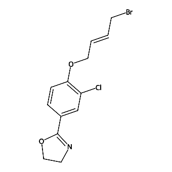 Clc1cc(C2=NCCO2)ccc1OC/C=C/CBr